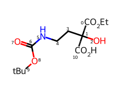 CCOC(=O)C(O)(CCNC(=O)OC(C)(C)C)C(=O)O